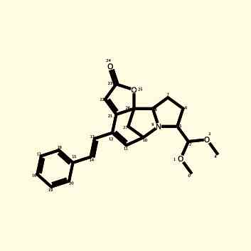 COC(OC)C1CCC2N1C1C=C(C=Cc3ccccc3)C3=CC(=O)OC32C1